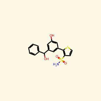 NS(=O)(=O)c1ccsc1-c1cc(O)cc(C(O)c2ccccc2)c1